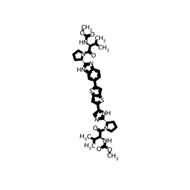 COC(=O)N[C@H](C(=O)N1CCC[C@H]1c1ncc(-c2cc3sc(-c4ccc5nc([C@@H]6CCCN6C(=O)[C@@H](NC(=O)OC)C(C)C)[nH]c5c4)cc3s2)[nH]1)C(C)C